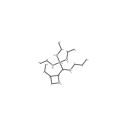 CCCOC(C1OCC1CC)[Si](OCC)(OCC)OCC